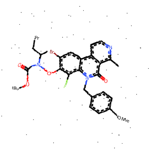 COc1ccc(Cn2c(=O)c3c(C)nccc3c3cc(Br)c(ON(C(=O)OC(C)(C)C)C(C)CC(C)C)c(F)c32)cc1